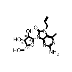 C=CCn1c(=O)n([C@@H]2O[C@H](CO)[C@@H](O)[C@H]2O)c2nc(N)nc(C)c21